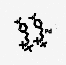 CN(C)c1ccc(CC=CP(C(C)(C)C)C(C)(C)C)cc1.CN(C)c1ccc(CC=CP(C(C)(C)C)C(C)(C)C)cc1.[Pd]